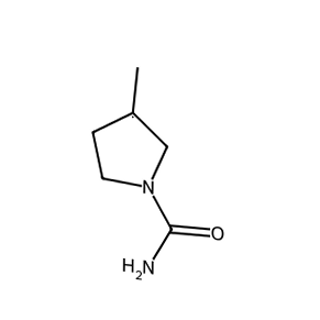 C[C]1CCN(C(N)=O)C1